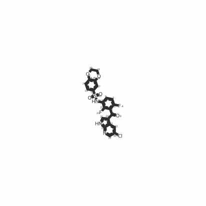 O=C(c1c(F)ccc(NS(=O)(=O)c2ccc3c(c2)OCCO3)c1F)c1c[nH]c2ncc(Cl)cc12